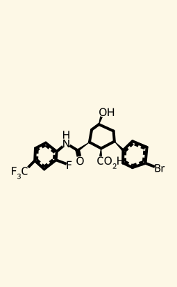 O=C(O)[C@H]1[C@@H](C(=O)Nc2ccc(C(F)(F)F)cc2F)C[C@@H](O)C[C@H]1c1ccc(Br)cc1